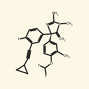 C=C1N(C)C(N)=N[C@@]1(c1ccc(OC(F)F)c(C)c1)c1ccc(F)c(C#CC2CC2)c1